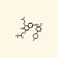 CNC(=O)COc1cc2cc(Nc3nc(N4CCN(C)CC4)ncc3Cl)ccc2n(CCN(C)C)c1=O